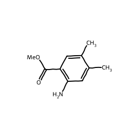 COC(=O)c1cc(C)c(C)cc1N